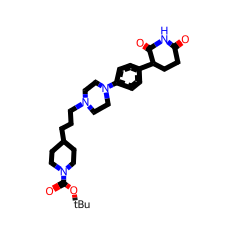 CC(C)(C)OC(=O)N1CCC(CCCN2CCN(c3ccc(C4CCC(=O)NC4=O)cc3)CC2)CC1